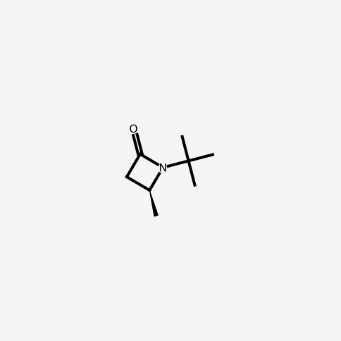 C[C@H]1CC(=O)N1C(C)(C)C